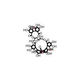 O=C1OC([C@@H]2OC(=O)c3cc(O)c(O)c(O)c3-c3c(O)c(O)c4oc(=O)c5c(c(O)c(O)c6oc(=O)c3c4c65)-c3c(cc(O)c(O)c3O)C(=O)OCC2O)[C@@H](CO)OC(=O)c2cc(O)c(O)c(O)c2-c2c1cc(O)c(O)c2O